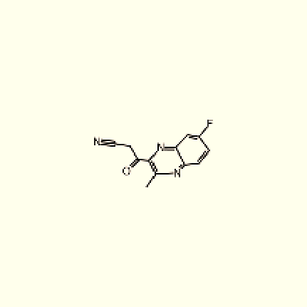 Cc1nc2ccc(F)cc2nc1C(=O)CC#N